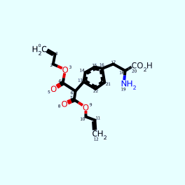 C=CCOC(=O)C(C(=O)OCC=C)c1ccc(CC(N)C(=O)O)cc1